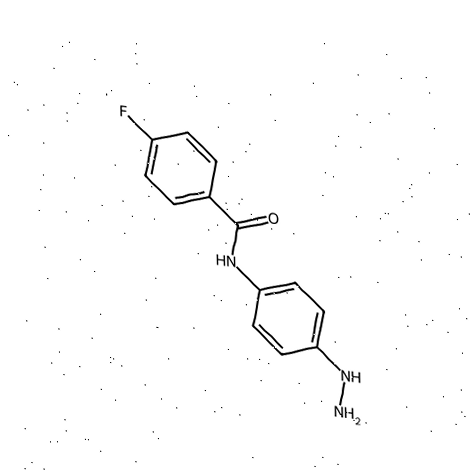 NNc1ccc(NC(=O)c2ccc(F)cc2)cc1